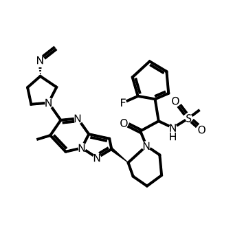 C=N[C@H]1CCN(c2nc3cc([C@@H]4CCCCN4C(=O)C(NS(C)(=O)=O)c4ccccc4F)nn3cc2C)C1